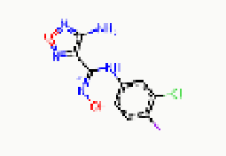 Nc1nonc1/C(=N/O)Nc1ccc(I)c(Cl)c1